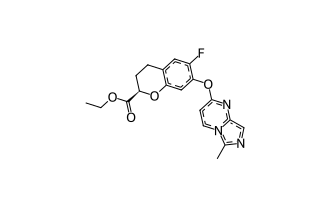 CCOC(=O)[C@H]1CCc2cc(F)c(Oc3ccn4c(C)ncc4n3)cc2O1